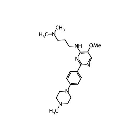 COc1cnc(-c2ccc(N3CCN(C)CC3)cc2)nc1NCCCN(C)C